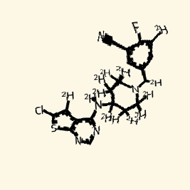 [2H]c1cc(C([2H])N2C([2H])([2H])C([2H])([2H])C([2H])(N([2H])c3ncnc4sc(Cl)c([2H])c34)C([2H])([2H])C2([2H])[2H])cc(C#N)c1F